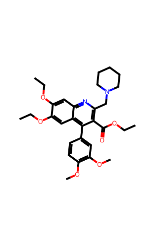 CCOC(=O)c1c(CN2CCCCC2)nc2cc(OCC)c(OCC)cc2c1-c1ccc(OC)c(OC)c1